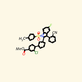 COC(=O)c1ccc(-c2cccc(-c3c(-c4ccccc4C#N)c4cc(F)ccc4n3S(=O)(=O)c3ccc(C)cc3)c2)c(Cl)c1